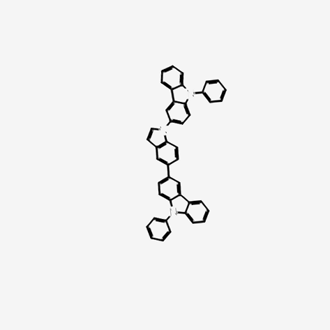 c1ccc(-n2c3ccccc3c3cc(-c4ccc5c(ccn5-c5ccc6c(c5)c5ccccc5n6-c5ccccc5)c4)ccc32)cc1